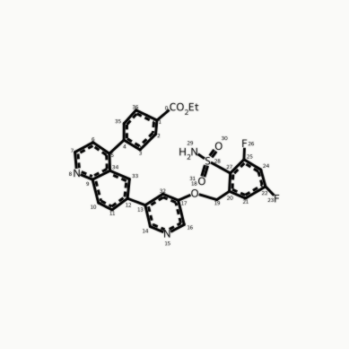 CCOC(=O)c1ccc(-c2ccnc3ccc(-c4cncc(OCc5cc(F)cc(F)c5S(N)(=O)=O)c4)cc23)cc1